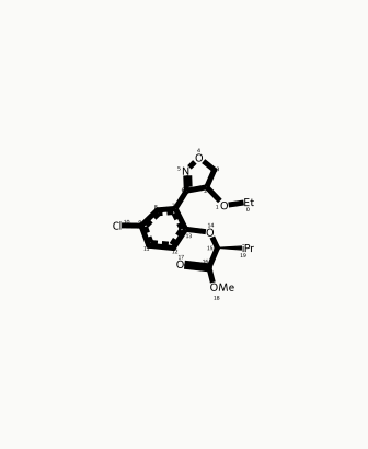 CCOC1CON=C1c1cc(Cl)ccc1O[C@H](C(=O)OC)C(C)C